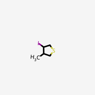 CC1CSCC1I